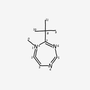 C[N+]1=C=CN=CN=C1C(C)(C)C